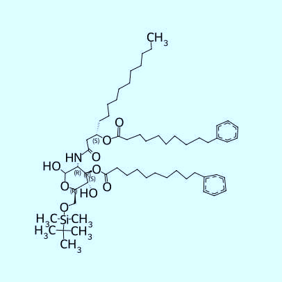 CCCCCCCCCCC[C@@H](CC(=O)N[C@H]1C(O)O[C@H](CO[Si](C)(C)C(C)(C)C)[C@@H](O)[C@@H]1OC(=O)CCCCCCCCCc1ccccc1)OC(=O)CCCCCCCCCc1ccccc1